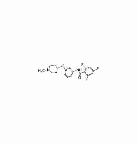 CN1CCC(Oc2cccc(NC(=O)c3c(F)cc(F)cc3F)c2)CC1